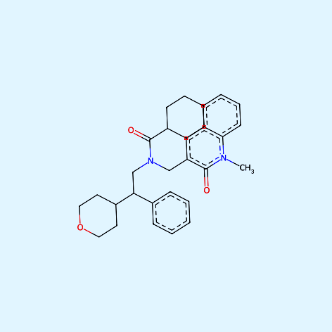 Cn1c(=O)c(CN(CC(c2ccccc2)C2CCOCC2)C(=O)C2CCCCC2)cc2ccccc21